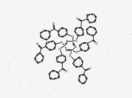 O=C(c1ccccc1)c1ccc(OP2(Oc3ccc(C(=O)c4ccccc4)cc3)=NP(Oc3ccc(C(=O)c4ccccc4)cc3)(Oc3ccc(C(=O)c4ccccc4)cc3)=NP(Oc3ccc(C(=O)c4ccccc4)cc3)(Oc3ccc(C(=O)c4ccccc4)cc3)=N2)cc1